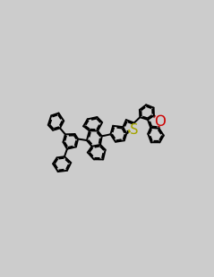 c1ccc(-c2cc(-c3ccccc3)cc(-c3c4ccccc4c(-c4ccc5sc(-c6cccc7oc8ccccc8c67)cc5c4)c4ccccc34)c2)cc1